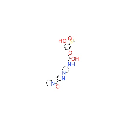 C[S+]([O-])c1cc(OCC(O)CNC2CCN(c3ccc(C(=O)N4CCCCC4)cn3)CC2)ccc1O